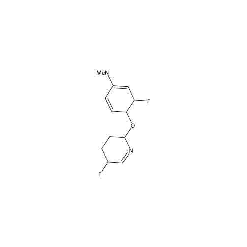 CNC1=CC(F)C(OC2CCC(F)C=N2)C=C1